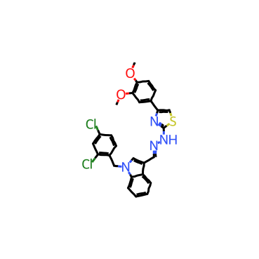 COc1ccc(-c2csc(NN=Cc3cn(Cc4ccc(Cl)cc4Cl)c4ccccc34)n2)cc1OC